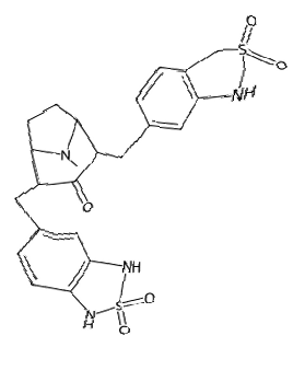 CN1C2CCC1C(Cc1ccc3c(c1)NS(=O)(=O)N3)C(=O)C2Cc1ccc2c(c1)NS(=O)(=O)C2